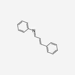 C(=Cc1ccccc1)C=Nc1ccccc1